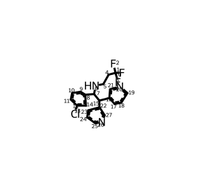 FC(F)(F)CCNC(c1cccc(Cl)c1)C(c1cccnc1)c1cccnc1